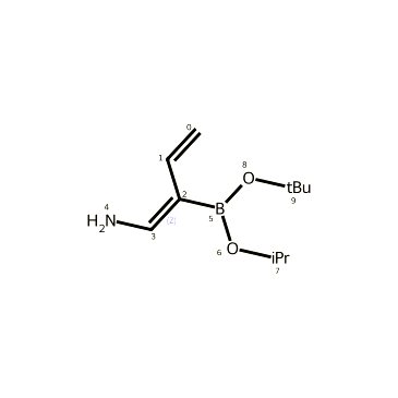 C=C/C(=C\N)B(OC(C)C)OC(C)(C)C